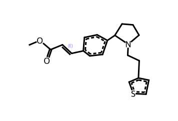 COC(=O)/C=C/c1ccc(C2CCCN2CCc2ccsc2)cc1